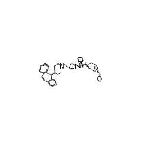 O=CN1CCC(C(=O)NCCCN2CCC(=C3c4ccccc4C=Cc4ccccc43)CC2)CC1